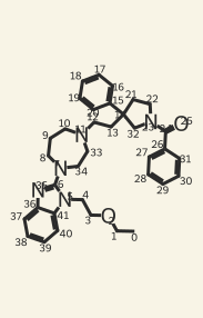 CCOCCn1c(N2CCCN(CCC3(c4ccccc4)CCN(C(=O)c4ccccc4)C3)CC2)nc2ccccc21